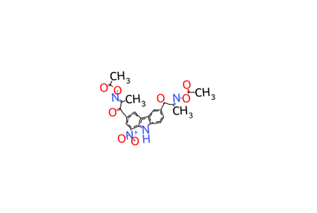 CC(=O)O/N=C(\C)C(=O)c1ccc2[nH]c3c([N+](=O)[O-])cc(C(=O)/C(C)=N/OC(C)=O)cc3c2c1